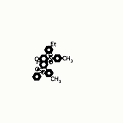 CCc1ccc([C@@H]2CC(=O)[C@@H]3CC(S(=O)(=O)c4ccccc4)[C@H](c4ccc(C)cc4)C[C@@H]3C2S(=O)(=O)c2ccc(C)cc2)cc1